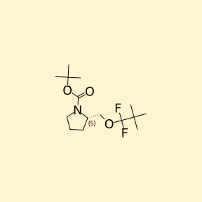 CC(C)(C)OC(=O)N1CCC[C@H]1COC(F)(F)C(C)(C)C